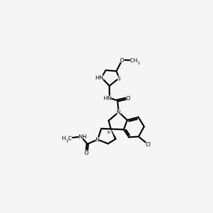 CNC(=O)N1CC[C@@]2(C1)CN(C(=O)NC1NCC(OC)S1)C1=CCC(Cl)C=C12